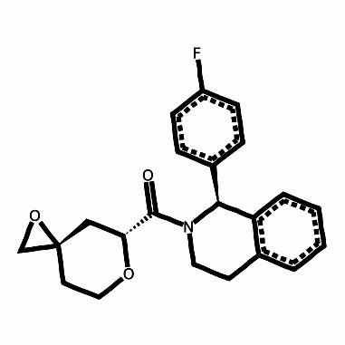 O=C([C@H]1C[C@@]2(CCO1)CO2)N1CCc2ccccc2[C@@H]1c1ccc(F)cc1